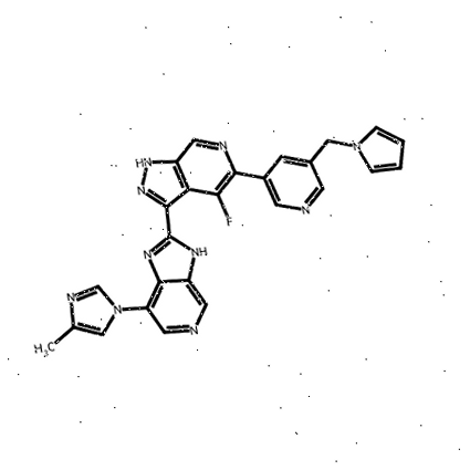 Cc1cn(-c2cncc3[nH]c(-c4n[nH]c5cnc(-c6cncc(Cn7cccc7)c6)c(F)c45)nc23)cn1